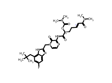 CN(C)C(=O)/C=C/CC[C@H](OC(=O)N(C)C)C(=O)Nc1nccn(Cc2nc3cc(F)cc(CC(C)(C)C)c3[nH]2)c1=O